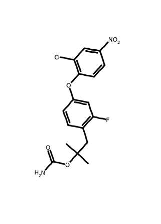 CC(C)(Cc1ccc(Oc2ccc([N+](=O)[O-])cc2Cl)cc1F)OC(N)=O